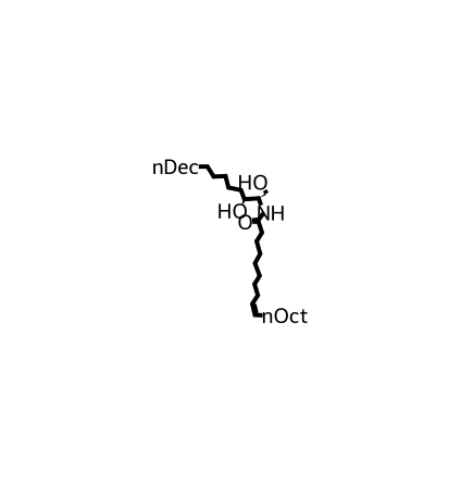 CCCCCCCC/C=C\CCCCCCCC(=O)N[C@@H](CO)[C@H](O)CCCCCCCCCCCCCCC